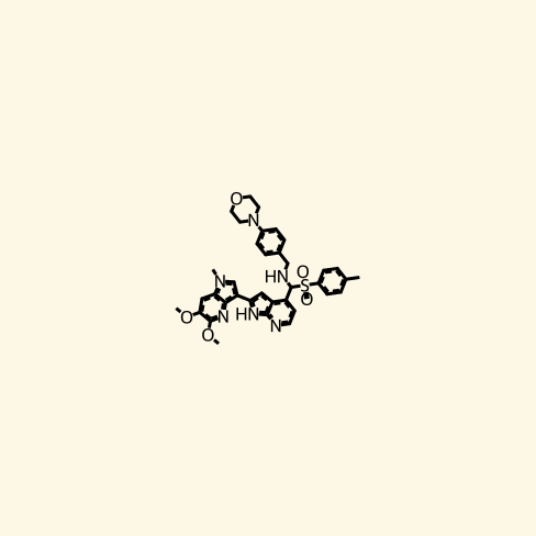 COc1cc2c(nc1OC)c(-c1cc3c(C(NCc4ccc(N5CCOCC5)cc4)S(=O)(=O)c4ccc(C)cc4)ccnc3[nH]1)cn2C